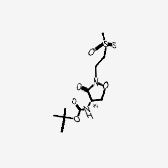 CC(C)(C)OC(=O)N[C@@H]1CON(CCS(C)(=O)=S)C1=O